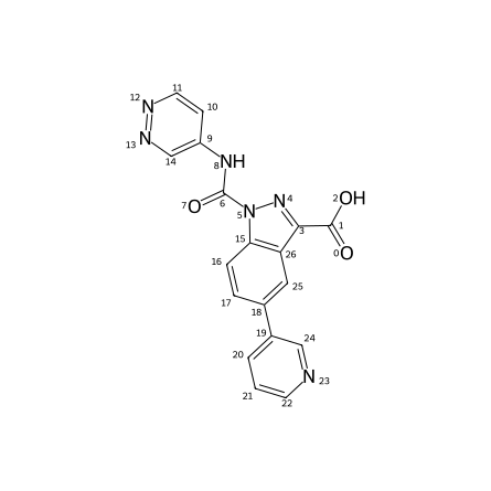 O=C(O)c1nn(C(=O)Nc2ccnnc2)c2ccc(-c3cccnc3)cc12